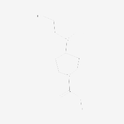 CC(C)CCN(C)C1CCN(C(=O)OC(C)C)CC1